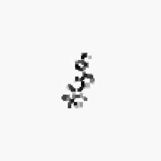 CON=C(C(=O)N[C@@H]1C(=O)N(P(=O)(O)O)C1C)c1csc(N)n1